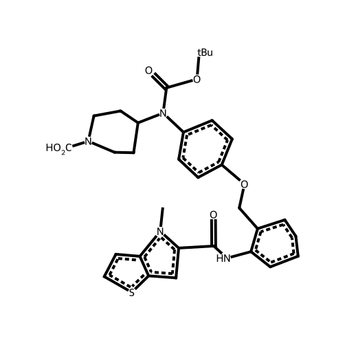 Cn1c(C(=O)Nc2ccccc2COc2ccc(N(C(=O)OC(C)(C)C)C3CCN(C(=O)O)CC3)cc2)cc2sccc21